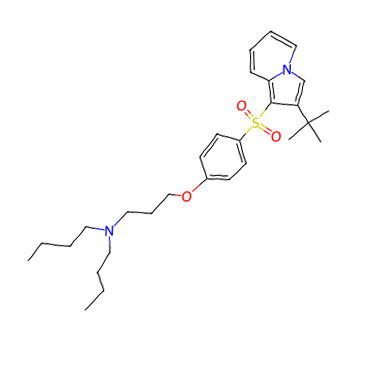 CCCCN(CCCC)CCCOc1ccc(S(=O)(=O)c2c(C(C)(C)C)cn3ccccc23)cc1